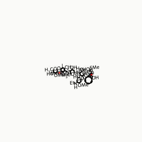 CCNC1COC(OC2C(O[C@@]3(C)C#C/C=C\C#C[C@]4(O)CC(=O)C(NC(=O)OC)=C3/C4=C\CSSSC)OC(C)C(NOC3CC(O)C(SC(=O)c4c(C)c(I)c(OC5OC(C)C(O)C(OC)C5O)c(OC)c4OC)C(C)O3)C2O)CC1OC